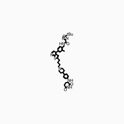 Cc1cc(-c2ccnc3sc(CCCCN4CCC(c5ccc(NC6CCC(=O)NC6=O)cc5)CC4)cc23)ccc1CNC(=O)c1noc(C(C)(C)C)n1